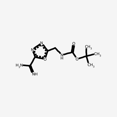 CC(C)(C)OC(=O)NCc1nnc(C(=N)N)o1